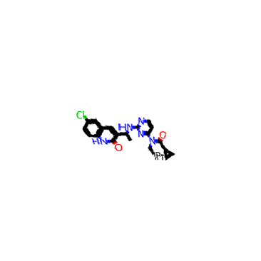 CC(C)CN(C(=O)C1CC1)c1ccnc(NC(C)c2cc3cc(Cl)ccc3[nH]c2=O)n1